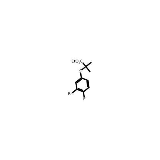 CCOC(=O)C(C)(C)Sc1ccc(F)c(Br)c1